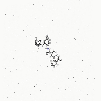 C=C(CC1CCN(C(=O)/C=C/c2ccc(Cl)cc2Cn2nnc(C)n2)CC1)N1CCOCC1